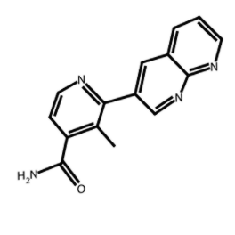 Cc1c(C(N)=O)ccnc1-c1cnc2ncccc2c1